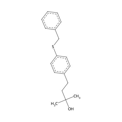 CC(C)(O)CCc1ccc(SCc2ccccc2)cc1